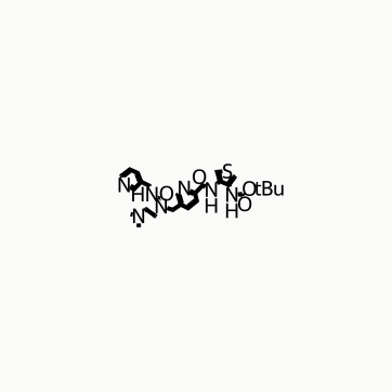 CN(C)CCN(Cc1ccc(C(=O)Nc2cscc2NC(=O)OC(C)(C)C)nc1)C(=O)NCc1cccnc1